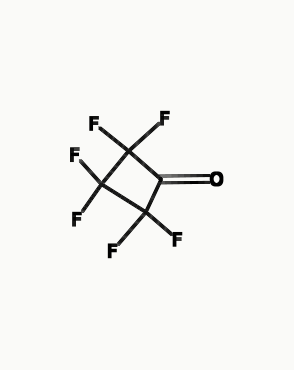 O=C1C(F)(F)C(F)(F)C1(F)F